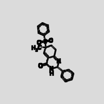 CC1(S(=O)(=O)c2ccccc2)C=C2C(=O)NC(c3ccccc3)N=C2CC1